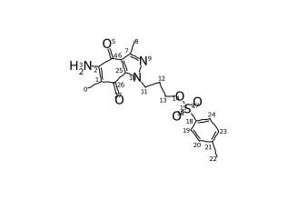 CC1=C(N)C(=O)c2c(C)nn(CCCOS(=O)(=O)c3ccc(C)cc3)c2C1=O